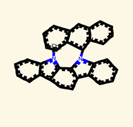 Cn1c2ccccc2c2ccc3c4ccccc4n(-c4c5ccccc5cc5ccccc45)c3c21